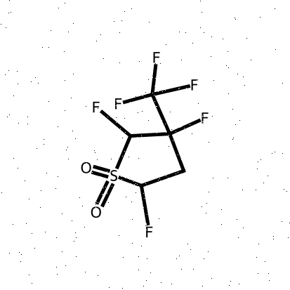 O=S1(=O)C(F)CC(F)(C(F)(F)F)C1F